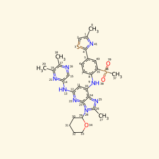 Cc1csc(-c2ccc(Nc3cc(Nc4cnc(C)c(C)n4)nc4c3nc(C)n4C3CCCCO3)c(S(C)(=O)=O)c2)n1